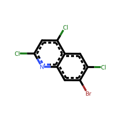 Clc1cc(Cl)c2cc(Cl)c(Br)cc2n1